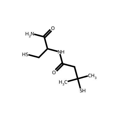 CC(C)(S)CC(=O)NC(CS)C(N)=O